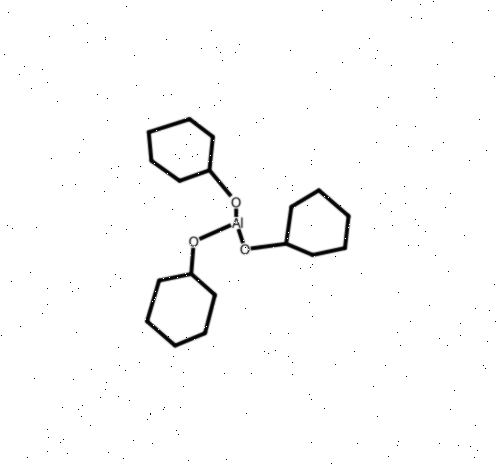 C1CCC([O][Al]([O]C2CCCCC2)[O]C2CCCCC2)CC1